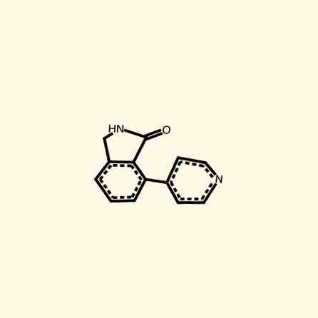 O=C1NCc2cccc(-c3ccncc3)c21